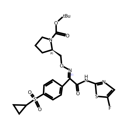 CC(C)(C)OC(=O)N1CCC[C@@H]1CO/N=C(/C(=O)Nc1ncc(F)s1)c1ccc(S(=O)(=O)C2CC2)cc1